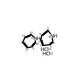 C1=CC=CNC=C1.C1=CC=CNC=C1.Cl.Cl